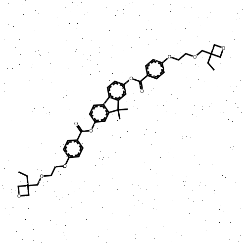 CCC1(COCCOc2ccc(C(=O)Oc3ccc4c(c3)C(C)(C)c3cc(OC(=O)c5ccc(OCCOCC6(CC)COC6)cc5)ccc3-4)cc2)COC1